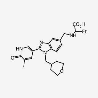 CCC(NCc1ccc2c(c1)nc(-c1c[nH]c(=O)c(C)c1)n2CC1CCOCC1)C(=O)O